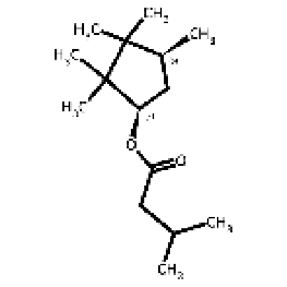 CC(C)CC(=O)O[C@@H]1C[C@H](C)C(C)(C)C1(C)C